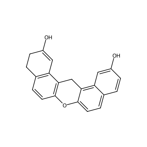 OC1=Cc2c(ccc3c2Cc2c(ccc4ccc(O)cc24)O3)CC1